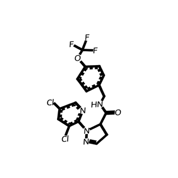 O=C(NCc1ccc(OC(F)(F)F)cc1)C1CC=NN1c1ncc(Cl)cc1Cl